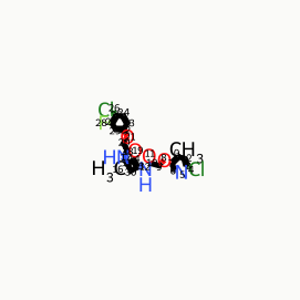 Cc1cc(Cl)ncc1OCC(=O)NC1=CC(C)(NC(=O)COc2ccc(Cl)c(F)c2)C1